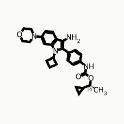 C[C@@H](OC(=O)Nc1ccc(-c2c(N)c3ccc(N4CCOCC4)cc3n2C2CCC2)cc1)C1CC1